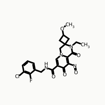 CCN1C(=O)c2c(N=O)c(=O)c(C(=O)NCc3cccc(Cl)c3F)cn2CC12CC(OC)C2